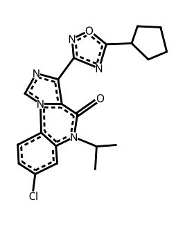 CC(C)n1c(=O)c2c(-c3noc(C4CCCC4)n3)ncn2c2ccc(Cl)cc21